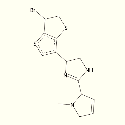 CN1CC=CC1C1=NC(c2csc3c2SCC3Br)CN1